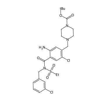 CCS(=O)(=O)N(Cc1cccc(Cl)c1)C(=O)c1cc(Cl)c(CN2CCN(C(=O)OC(C)(C)C)CC2)cc1N